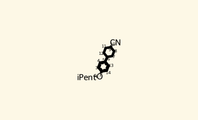 CCCC(C)Oc1ccc(C2CCC(C#N)CC2)cc1